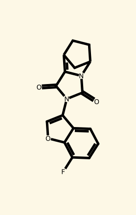 O=C1C2=C3CCC(C3)N2C(=O)N1c1coc2c(F)cccc12